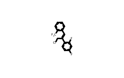 Fc1ccc(C(=Cc2ccccc2C(F)(F)F)CCl)c(F)c1